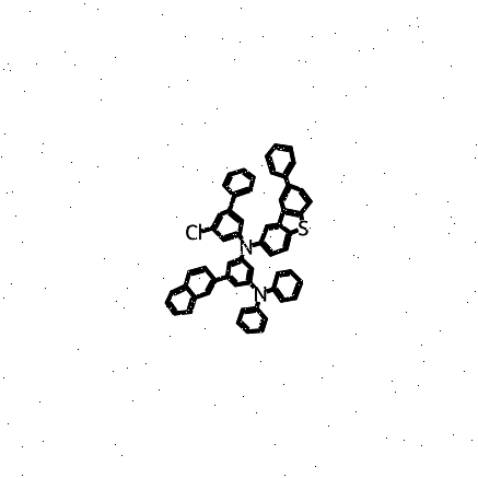 Clc1cc(-c2ccccc2)cc(N(c2cc(-c3ccc4ccccc4c3)cc(N(c3ccccc3)c3ccccc3)c2)c2ccc3sc4ccc(-c5ccccc5)cc4c3c2)c1